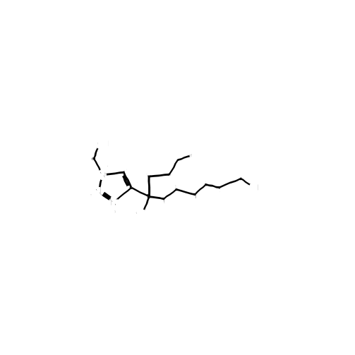 CCCCCCCC(C)(CCCC)c1cn(CC)nn1